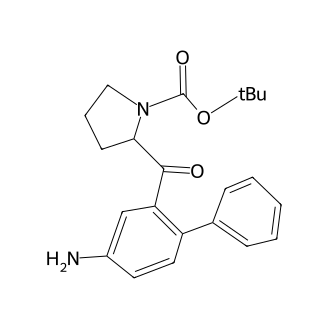 CC(C)(C)OC(=O)N1CCCC1C(=O)c1cc(N)ccc1-c1ccccc1